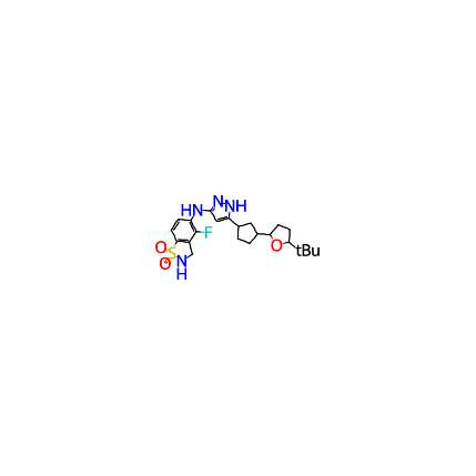 CC(C)(C)C1CCC(C2CCC(c3cc(Nc4ccc5c(c4F)CNS5(=O)=O)n[nH]3)C2)O1